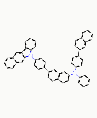 c1ccc(N(c2ccc(-c3ccc4ccccc4c3)cc2)c2ccc3ccc(-c4ccc(-n5c6ccccc6c6cc7ccccc7cc65)cc4)cc3c2)cc1